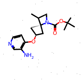 CC1CN(C(=O)OC(C)(C)C)[C@]12C[C@H](Oc1ccncc1N)C2